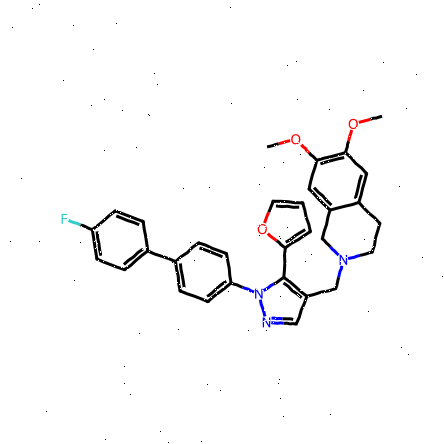 COc1cc2c(cc1OC)CN(Cc1cnn(-c3ccc(-c4ccc(F)cc4)cc3)c1-c1ccco1)CC2